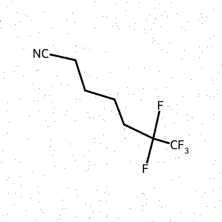 N#CCCCCC(F)(F)C(F)(F)F